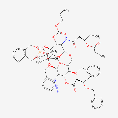 C=CCOC(=O)O[C@@H]1C(NC(=O)C[C@@H](CC)OC(=O)CC)[C@H](OCC2O[C@H](O[Si](C)(C)C(C)(C)C)C(N=[N+]=[N-])[C@@H](OC(=O)C[C@@H](CC)OCc3ccccc3)[C@@H]2OCc2ccccc2)OC(COCc2ccccc2)[C@H]1OP1(=O)OCc2ccccc2CO1